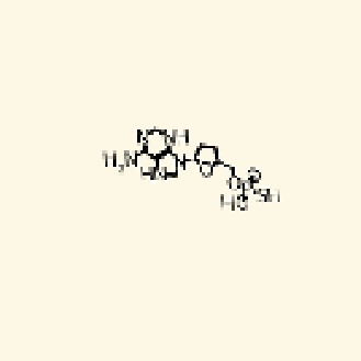 NC1=NCNC2=C1NCN2[C@H]1CC[C@@H](COP(=O)(O)S)O1